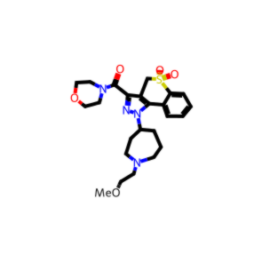 COCCN1CCCC(n2nc(C(=O)N3CCOCC3)c3c2-c2ccccc2S(=O)(=O)C3)CC1